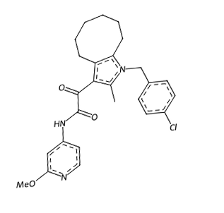 COc1cc(NC(=O)C(=O)c2c3c(n(Cc4ccc(Cl)cc4)c2C)CCCCCC3)ccn1